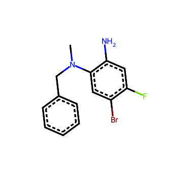 CN(Cc1ccccc1)c1cc(Br)c(F)cc1N